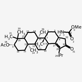 COC(=O)N[C@@]12CC[C@]3(C)C(CCC4[C@@]5(C)CC[C@H](OC(C)=O)C(C)(C)C5CC[C@]43C)C1=C(C(C)C)C(=O)C2